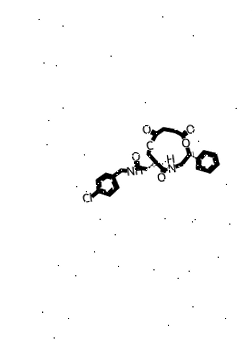 O=C1CCC(=O)O[C@H](c2ccccc2)CNC(=O)[C@H](CC(=O)NCc2ccc(Cl)cc2)CC1